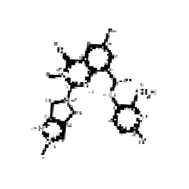 C[C@H](Nc1ccc(Cl)nc1C(=O)O)c1cc(F)cc2c(=O)n(C)c(N3Cc4cn(C)nc4C3)nc12